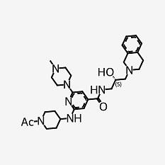 CC(=O)N1CCC(Nc2cc(C(=O)NC[C@H](O)CN3CCc4ccccc4C3)cc(N3CCN(C)CC3)n2)CC1